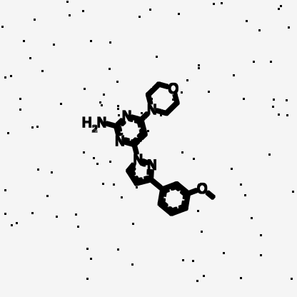 COc1cccc(-c2ccn(-c3cc(N4CCOCC4)nc(N)n3)n2)c1